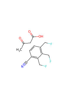 CC(=O)CC(=O)O.N#Cc1ccc(CF)c(CF)c1CF